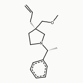 C=CC[C@@]1(COC)CCN([C@H](C)c2ccccc2)C1